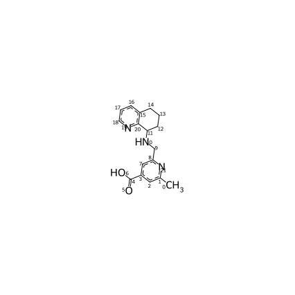 Cc1cc(C(=O)O)cc(CNC2CCCc3cccnc32)n1